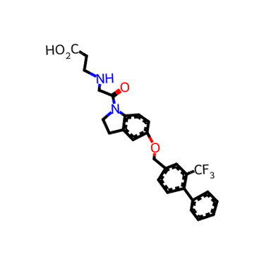 O=C(O)CCNCC(=O)N1CCc2cc(OCc3ccc(-c4ccccc4)c(C(F)(F)F)c3)ccc21